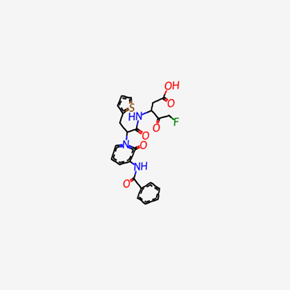 O=C(O)CC(NC(=O)C(Cc1cccs1)n1cccc(NC(=O)c2ccccc2)c1=O)C(=O)CF